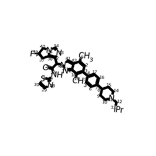 Cc1cc(-c2ccc(C3CCN(CC(C)C)CC3)cc2)c(C)c2nn(C(C(=O)Nc3nccs3)c3ncn4c3C[C@@H](F)C4)cc12